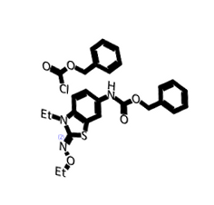 CCO/N=c1\sc2cc(NC(=O)OCc3ccccc3)ccc2n1CC.O=C(Cl)OCc1ccccc1